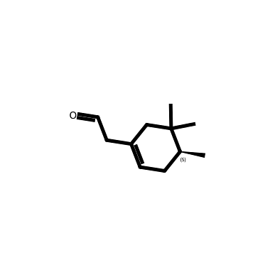 C[C@H]1CC=C(CC=O)CC1(C)C